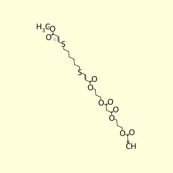 C#CC(=O)OCCCOC(=O)CC(=O)OCCCOC(=O)C=CSCCCCCCS/C=C/C(=O)OC